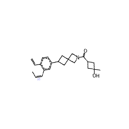 C=Cc1ccc(C2CC3(C2)CN(C(=O)C2CC(C)(O)C2)C3)cc1/C=C\C